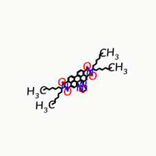 CCCCCCC(CCCCCC)N1C(=O)c2ccc3c4ccc5c6c(cc(N7CCCCC7)c(c7c(N8CCCCC8)cc(c2c37)C1=O)c64)C(=O)N(C(CCCCCC)CCCCCC)C5=O